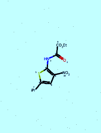 CCOC(=O)C(=O)Nc1sc(C(C)C)cc1[N+](=O)[O-]